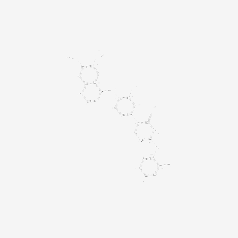 COc1cc2nccc(Oc3ccc(-c4cnc(Nc5ccc(F)cc5C)[nH]c4=O)cc3F)c2cc1OC